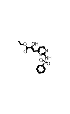 CCOC(=O)C(O)=Cc1ccnc(NS(=O)(=O)c2ccccc2)n1